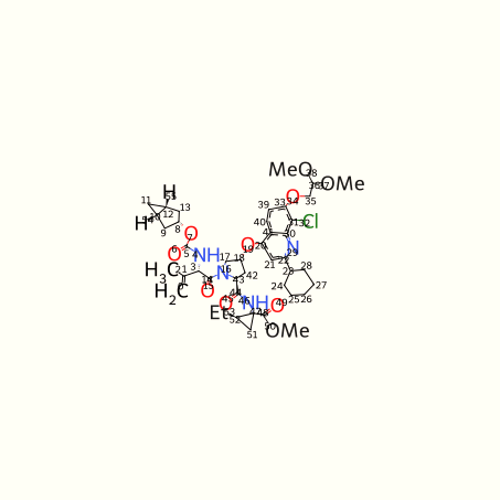 C=C(C)[C@H](NC(=O)O[C@@H]1C[C@@H]2C[C@@H]2C1)C(=O)N1C[C@H](Oc2cc(C3CCCCC3)nc3c(Cl)c(OCC(OC)OC)ccc23)C[C@H]1C(=O)N[C@]1(C(=O)OC)C[C@H]1CC